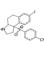 Cc1ccc(S(=O)(=O)C23CCNC2CCc2cc(I)ccc23)cc1